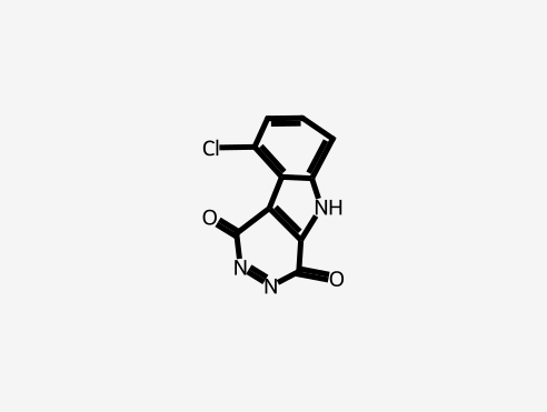 O=C1N=NC(=O)c2c1[nH]c1cccc(Cl)c21